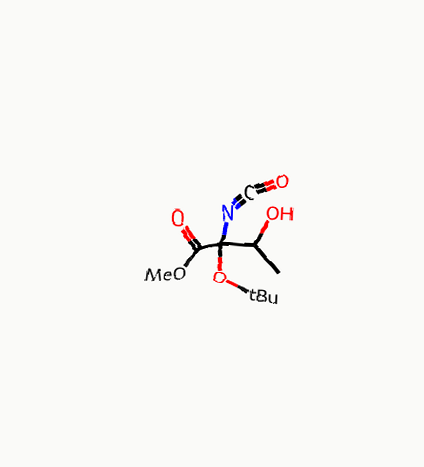 COC(=O)C(N=C=O)(OC(C)(C)C)C(C)O